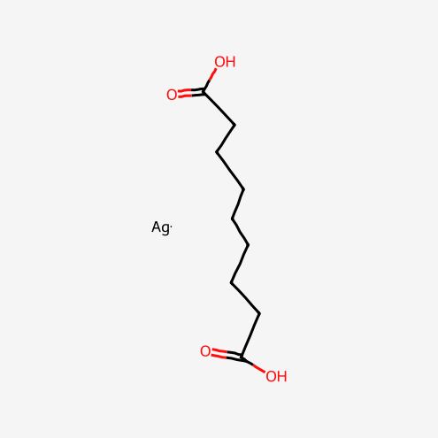 O=C(O)CCCCCCCC(=O)O.[Ag]